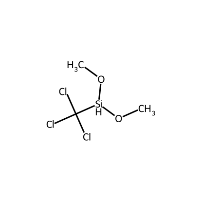 CO[SiH](OC)C(Cl)(Cl)Cl